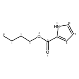 CCCCOC(=O)c1ccc[nH]1